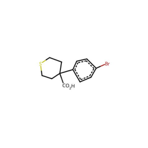 O=C(O)C1(c2ccc(Br)cc2)CCSCC1